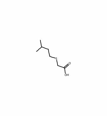 CC(C)CCSCC(=O)O